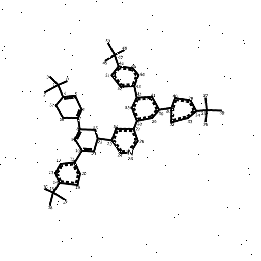 CC(C)(C)C1=CC=C(C2=CC(c3ccc(C(C)(C)C)cc3)=CC(c3cncc(-c4cc(-c5ccc(C(C)(C)C)cc5)cc(-c5ccc(C(C)(C)C)cc5)c4)c3)C2)CC1